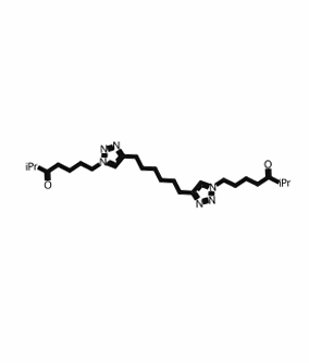 CC(C)C(=O)CCCCn1cc(CCCCCCc2cn(CCCCC(=O)C(C)C)nn2)nn1